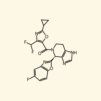 O=C(c1oc(C2CC2)nc1C(F)F)N1CCc2[nH]cnc2[C@H]1c1nc2cc(F)ccc2o1